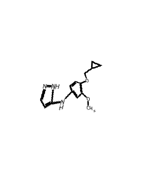 COc1cc(Nc2ccn[nH]2)ccc1OCC1CC1